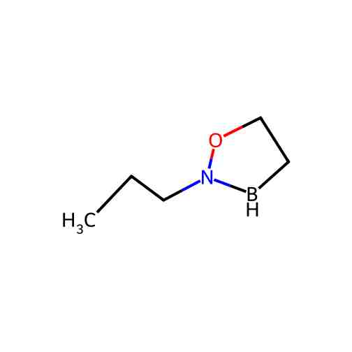 CCCN1BCCO1